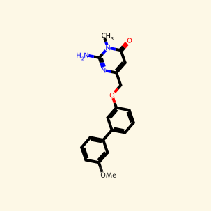 COc1cccc(-c2cccc(OCc3cc(=O)n(C)c(N)n3)c2)c1